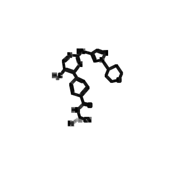 CC[C@@H](C#N)NC(=O)c1ccc(-c2nc(Nc3cnn(C4CCOCC4)c3)ncc2C)cc1